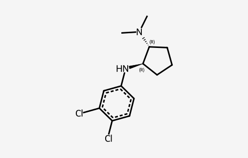 CN(C)[C@@H]1CCC[C@H]1Nc1ccc(Cl)c(Cl)c1